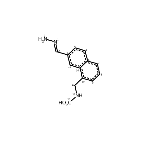 NN=Cc1ccc2cccc(CNC(=O)O)c2c1